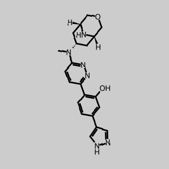 CN(c1ccc(-c2ccc(-c3cn[nH]c3)cc2O)nn1)[C@H]1C[C@H]2COC[C@@H](C1)N2